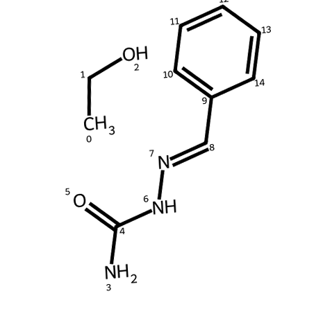 CCO.NC(=O)NN=Cc1ccccc1